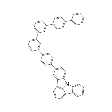 c1ccc(-c2ccc(-c3cccc(-c4cccc(-c5ccc(-c6ccc7c(c6)c6cccc8c9ccccc9n7c86)cc5)c4)c3)cc2)cc1